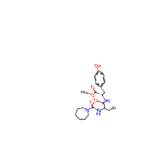 CC(C)CC(NC(=O)N1CCCCCC1)C(=O)NC(Cc1ccc(O)cc1)C(=O)OC(C)(C)C